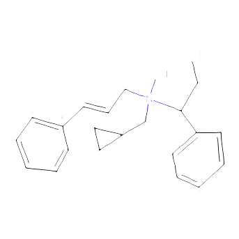 CCC(c1ccccc1)[N+](C)(CC=Cc1ccccc1)CC1CC1